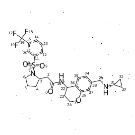 O=C(CC1CCCN1S(=O)(=O)c1cccc(C(F)(F)F)c1)NC1CCOc2cc(CNC3CC3)ccc21